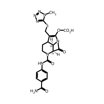 Cn1nnnc1SCC1=C(OC(=O)O)N2C(=O)[C@@H]3[C@H]2C1CCN3C(=O)Nc1ccc(C(N)=O)cc1